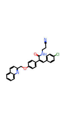 N#CCCNC(=O)C(=Cc1ccc(Cl)cc1)c1ccc(OCc2ccc3ccccc3n2)cc1